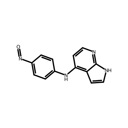 O=Nc1ccc(Nc2ccnc3[nH]ccc23)cc1